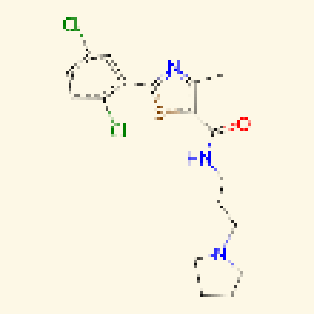 Cc1nc(-c2cc(Cl)ccc2Cl)sc1C(=O)NCCCN1CCCC1